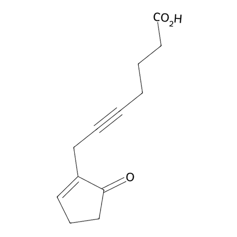 O=C(O)CCCC#CCC1=CCCC1=O